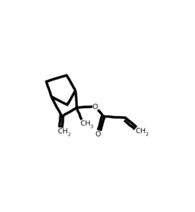 C=CC(=O)OC1(C)C(=C)C2CCC1C2